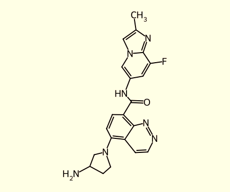 Cc1cn2cc(NC(=O)c3ccc(N4CCC(N)C4)c4ccnnc34)cc(F)c2n1